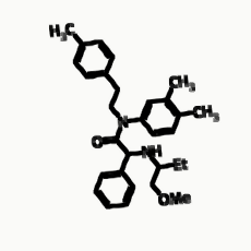 CCC(COC)NC(C(=O)N(CCc1ccc(C)cc1)c1ccc(C)c(C)c1)c1ccccc1